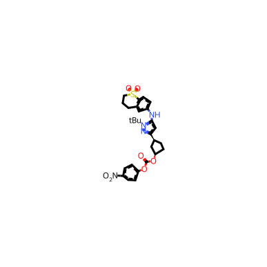 CC(C)(C)n1nc([C@H]2CC[C@@H](OC(=O)Oc3ccc([N+](=O)[O-])cc3)C2)cc1Nc1ccc2c(c1)CCCS2(=O)=O